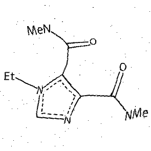 CCn1cnc(C(=O)NC)c1C(=O)NC